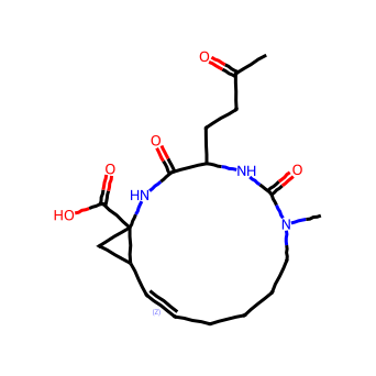 CC(=O)CCC1NC(=O)N(C)CCCC/C=C\C2CC2(C(=O)O)NC1=O